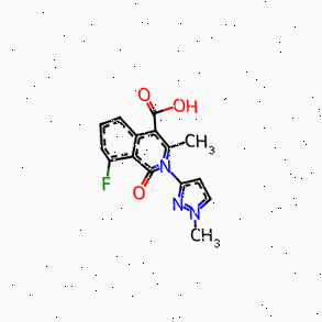 Cc1c(C(=O)O)c2cccc(F)c2c(=O)n1-c1ccn(C)n1